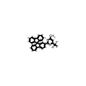 Cc1cc(C(F)(F)F)nc(-c2ccc3c(c2)C2(c4ccccc4-c4ccccc42)c2ccccc2-3)n1